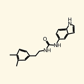 Cc1ccc(CCNC(=O)Nc2ccc3[nH]ccc3c2)cc1C